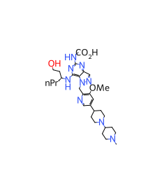 CCC[C@@H](CCO)Nc1nc(NC(=O)O)nc2cnn(Cc3ncc(C4CCN(C5CCN(C)CC5)CC4)cc3OC)c12